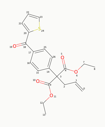 C=CCC(C(=O)OCC)(C(=O)OCC)c1ccc(C(=O)c2cccs2)cc1